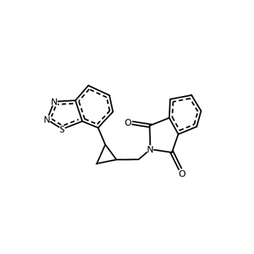 O=C1c2ccccc2C(=O)N1CC1CC1c1cccc2nnsc12